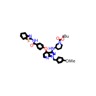 COc1ccc(Cn2nc(N[C@@H]3CCCN(C(=O)OC(C)(C)C)C3)c3c(Oc4ccc(C(=O)Nc5nc6ccccc6s5)cc4)ccnc32)cc1